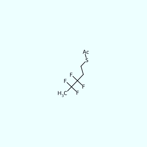 CC(=O)SCCC(F)(F)C(C)(F)F